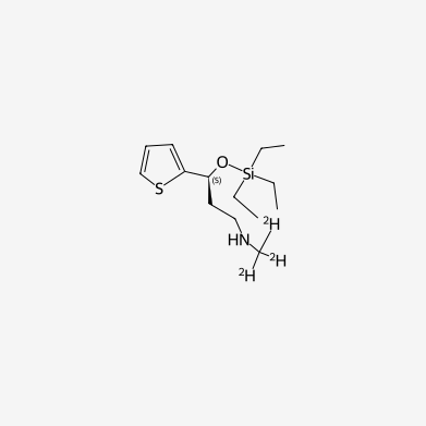 [2H]C([2H])([2H])NCC[C@H](O[Si](CC)(CC)CC)c1cccs1